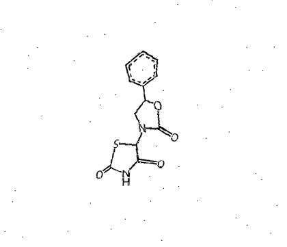 O=C1NC(=O)C(N2CC(c3ccccc3)OC2=O)S1